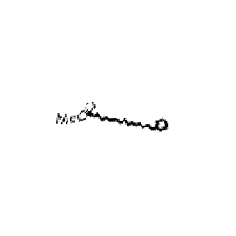 COC(=O)CCCCCCCCCCCCCCCC1CCCCC1